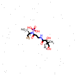 CC(C)(CO)[C@@H](O)C(=O)NCCC(=O)N([C@@H](CS)C(=O)O)P(=O)(O)O